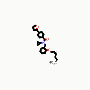 O=C(O)CC/C=C\COc1ccccc1CN(C(=O)c1ccc(-c2ccco2)cc1)C1CC1